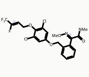 CNC(=O)/C(=N/OC)c1ccccc1COc1cc(Cl)c(OC/C=C(\F)C(F)(F)F)c(Cl)c1